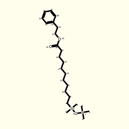 C[Si](C)(C)O[Si](C)(C)CCCCCCCCCCC(=O)OCCc1ccccc1